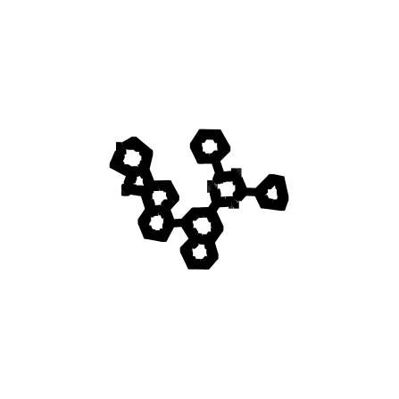 c1ccc(-c2nc(-c3ccccc3)nc(-c3cc(-c4cccc5c4ccc4c6ccncc6sc54)c4ccccc4c3)n2)cc1